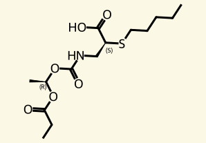 CCCCCS[C@@H](CNC(=O)O[C@H](C)OC(=O)CC)C(=O)O